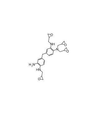 Nc1cc(Cc2ccc(N(CC3CO3)CC3CO3)c(NCC3CO3)c2)ccc1NCC1CO1